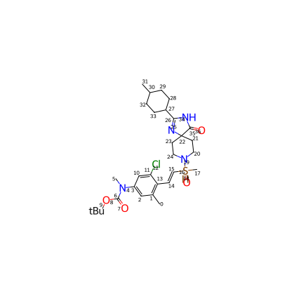 Cc1cc(N(C)C(=O)OC(C)(C)C)cc(Cl)c1/C=C/[SH](C)(=O)N1CCC2(CC1)N=C(C1CCC(C)CC1)NC2=O